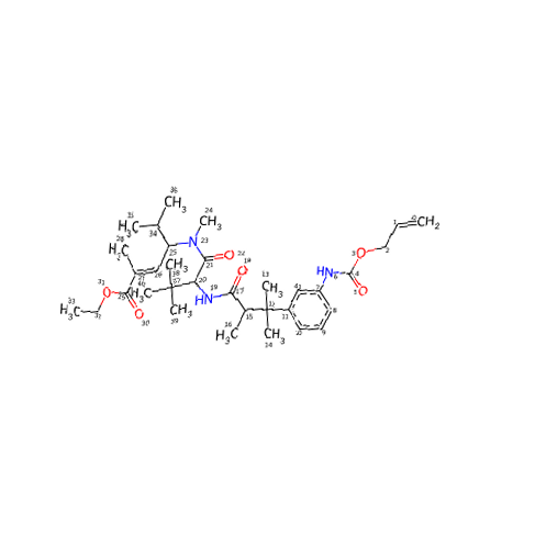 C=CCOC(=O)Nc1cccc(C(C)(C)C(C)C(=O)NC(C(=O)N(C)C(/C=C(\C)C(=O)OCC)C(C)C)C(C)(C)C)c1